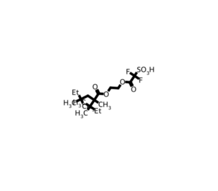 CCC(C)(C)CC(C)(C(=O)OCCOC(=O)C(F)(F)S(=O)(=O)O)C(C)(C)CC